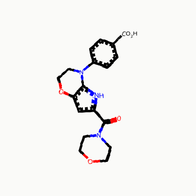 O=C(O)c1ccc(N2CCOc3cc(C(=O)N4CCOCC4)[nH]c32)cc1